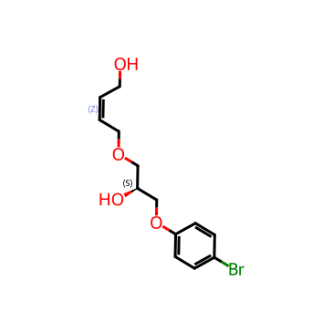 OC/C=C\COC[C@H](O)COc1ccc(Br)cc1